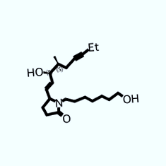 CCC#CC[C@H](C)[C@H](O)C=CC1CCC(=O)N1CCCCCCCO